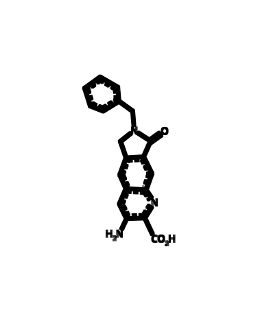 Nc1cc2cc3c(cc2nc1C(=O)O)C(=O)N(Cc1ccccc1)C3